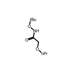 CCCOCC(=O)NOC(C)(C)C